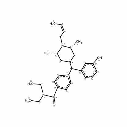 C/C=C\CN1[C@H](C)CN(C(c2ccc(C(=O)N(CC)CC)cc2)c2cccc(O)c2)C[C@@H]1C